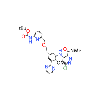 CNC(=O)c1nnc(Cl)cc1Nc1cc(CCOCc2cccc(NC(=O)OC(C)(C)C)n2)cc(-c2ncccn2)c1OC